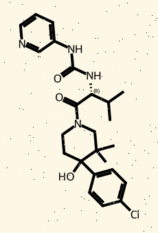 CC(C)[C@@H](NC(=O)Nc1cccnc1)C(=O)N1CCC(O)(c2ccc(Cl)cc2)C(C)(C)C1